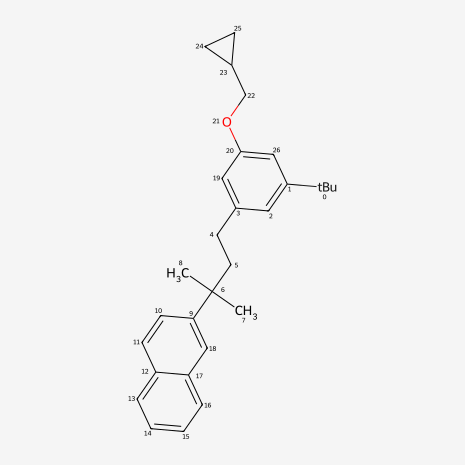 CC(C)(C)c1cc(CCC(C)(C)c2ccc3ccccc3c2)cc(OCC2CC2)c1